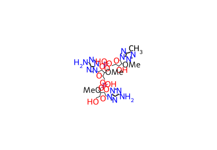 COC1C(CO)OC(n2cnc3c(N)ncnc32)C1OP(=O)(O)OCC1OC(n2cnc3c(N)ncnc32)C(OP(=O)(O)OCC2OC(n3cnc4c(C)ncnc43)C(OC)C2O)C1OC